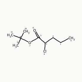 CCCC(Cl)C(=O)OC(C)(C)C